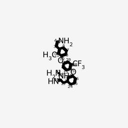 Cc1c(/C=C\N)cccc1Oc1ccc(OC2=CC(CC(=N)NN)CC=C2)c(C(F)(F)F)c1